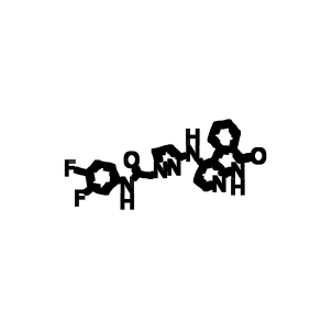 O=C(Cn1ccc(Nc2ccnc3[nH]c(=O)c4ccccc4c23)n1)Nc1ccc(F)c(F)c1